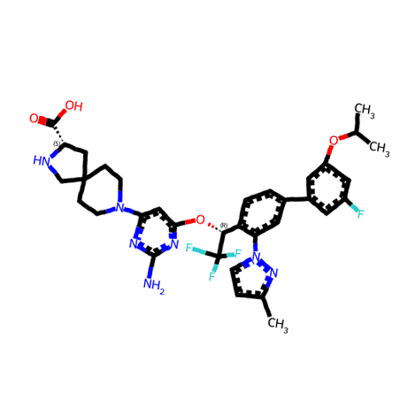 Cc1ccn(-c2cc(-c3cc(F)cc(OC(C)C)c3)ccc2[C@@H](Oc2cc(N3CCC4(CC3)CN[C@H](C(=O)O)C4)nc(N)n2)C(F)(F)F)n1